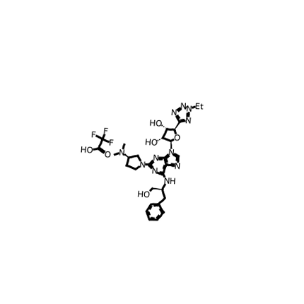 CCn1nnc([C@H]2O[C@@H](n3cnc4c(N[C@H](CO)Cc5ccccc5)nc(N5CC[C@@H](N(C)C)C5)nc43)[C@H](O)[C@@H]2O)n1.O=C(O)C(F)(F)F